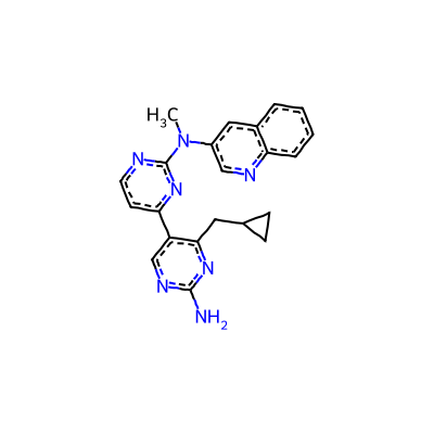 CN(c1cnc2ccccc2c1)c1nccc(-c2cnc(N)nc2CC2CC2)n1